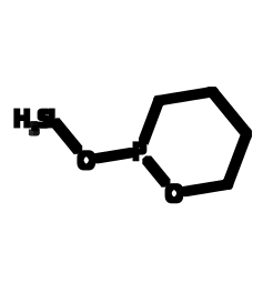 [SiH3]OP1CCCCO1